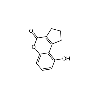 O=c1oc2cccc(O)c2c2c1CCC2